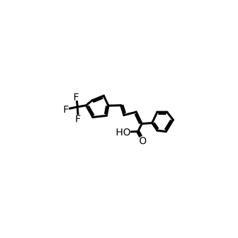 O=C(O)C(=CC=Cc1ccc(C(F)(F)F)cc1)c1ccccc1